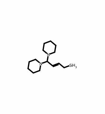 [SiH3]CC=CC(N1CCCCC1)N1CCCCC1